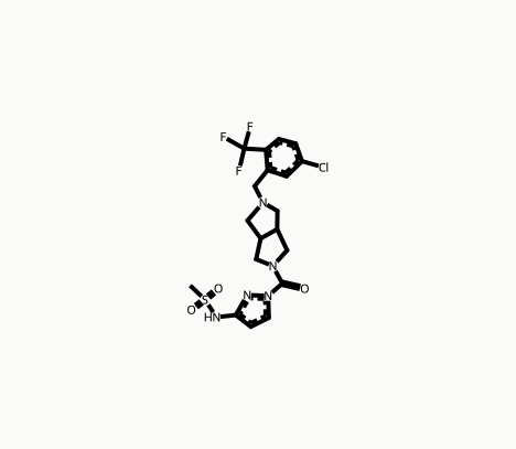 CS(=O)(=O)Nc1ccn(C(=O)N2CC3CN(Cc4cc(Cl)ccc4C(F)(F)F)CC3C2)n1